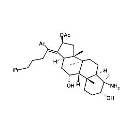 CC(=O)O[C@H]1C[C@@]2(C)[C@@H](C[C@@H](O)[C@H]3[C@@]4(C)CC[C@@H](O)[C@](C)(N)[C@@H]4CC[C@@]32C)/C1=C(\CCCC(C)C)C(C)=O